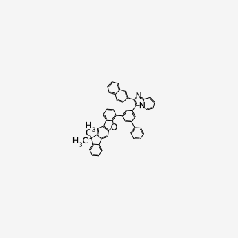 CC1(C)c2ccccc2-c2cc3oc4c(-c5cc(-c6ccccc6)cc(-c6c(-c7ccc8ccccc8c7)nc7ccccn67)c5)cccc4c3cc21